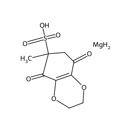 CC1(S(=O)(=O)O)CC(=O)C2=C(OCCO2)C1=O.[MgH2]